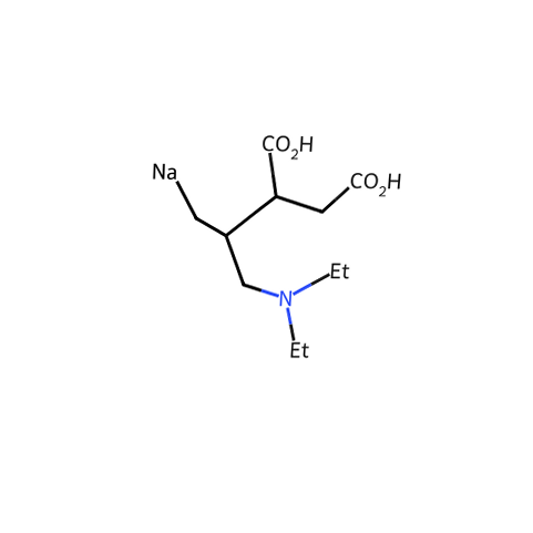 CCN(CC)CC([CH2][Na])C(CC(=O)O)C(=O)O